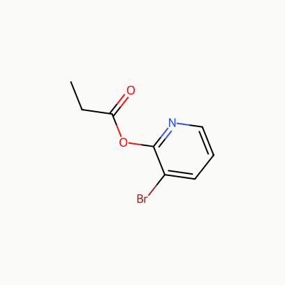 CCC(=O)Oc1ncccc1Br